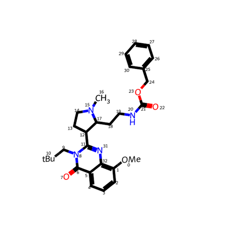 COc1cccc2c(=O)n(CC(C)(C)C)c(C3CCN(C)C3CCNC(=O)OCc3ccccc3)nc12